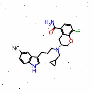 N#Cc1ccc2[nH]cc(CCCN(CC3CC3)[C@H]3COc4c(F)ccc(C(N)=O)c4C3)c2c1